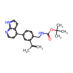 C=C(C)c1cc(-c2ccnc3[nH]ccc23)ccc1CNC(=O)OC(C)(C)C